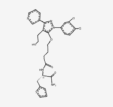 NC(=O)[C@H](Cc1cccs1)NC(=O)CCCOc1c(CCO)c(-c2cccnc2)nn1-c1ccc(Cl)c(Cl)c1